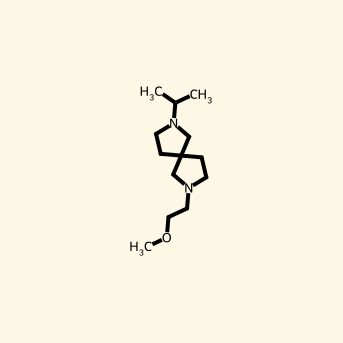 COCCN1CCC2(CCN(C(C)C)C2)C1